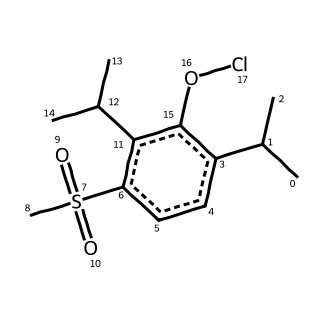 CC(C)c1ccc(S(C)(=O)=O)c(C(C)C)c1OCl